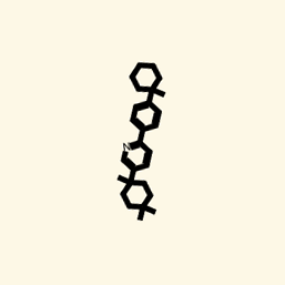 CC1(C)CCC(C)(c2ccc(-c3ccc(C4(C)CCCCC4)cc3)nc2)CC1